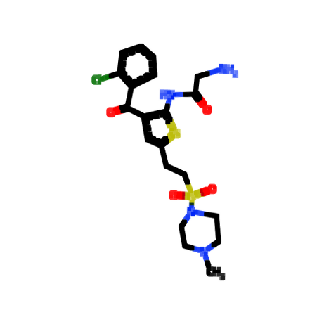 CN1CCN(S(=O)(=O)CCc2cc(C(=O)c3ccccc3Cl)c(NC(=O)CN)s2)CC1